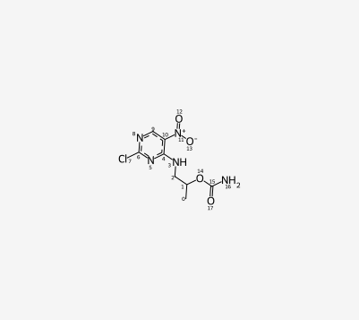 CC(CNc1nc(Cl)ncc1[N+](=O)[O-])OC(N)=O